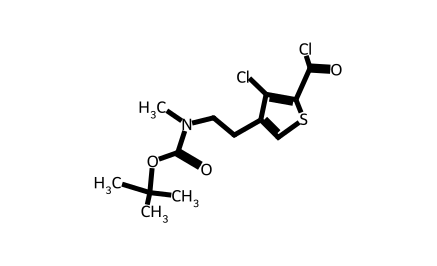 CN(CCc1csc(C(=O)Cl)c1Cl)C(=O)OC(C)(C)C